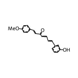 COc1ccc(C=CC(=O)C=CC=Cc2cccc(O)c2)cc1